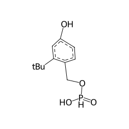 CC(C)(C)c1cc(O)ccc1CO[PH](=O)O